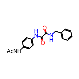 CC(=O)Nc1ccc(NC(=O)C(=O)NCc2ccccc2)cc1